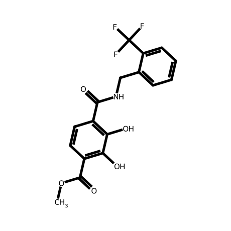 COC(=O)c1ccc(C(=O)NCc2ccccc2C(F)(F)F)c(O)c1O